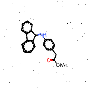 COC(=O)Cc1ccc(NC2c3ccccc3-c3ccccc32)cc1